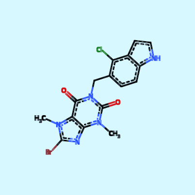 Cn1c(Br)nc2c1c(=O)n(Cc1ccc3[nH]ccc3c1Cl)c(=O)n2C